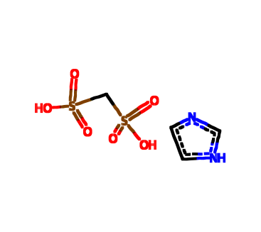 O=S(=O)(O)CS(=O)(=O)O.c1c[nH]cn1